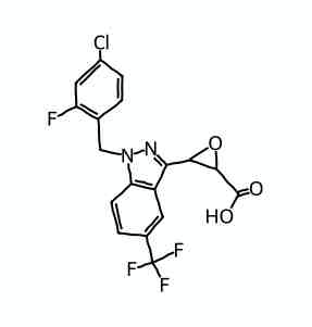 O=C(O)C1OC1c1nn(Cc2ccc(Cl)cc2F)c2ccc(C(F)(F)F)cc12